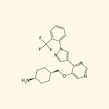 N[C@H]1CC[C@@H](COc2cncnc2-c2cnn(-c3ccccc3C(F)(F)F)c2)CC1